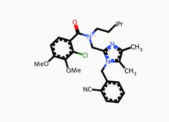 COc1ccc(C(=O)[N+](CCC(C)C)Cc2nc(C)c(C)n2Cc2ccccc2C#N)c(Cl)c1OC